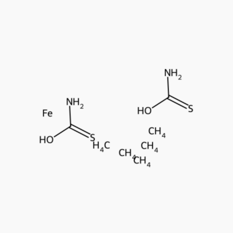 C.C.C.C.C.NC(O)=S.NC(O)=S.[Fe]